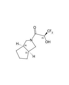 O=C([C@H](O)C(F)(F)F)N1C[C@H]2CCC[C@H]2C1